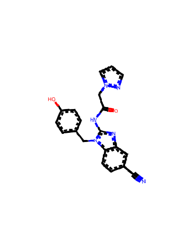 N#Cc1ccc2c(c1)nc(NC(=O)Cn1cccn1)n2Cc1ccc(O)cc1